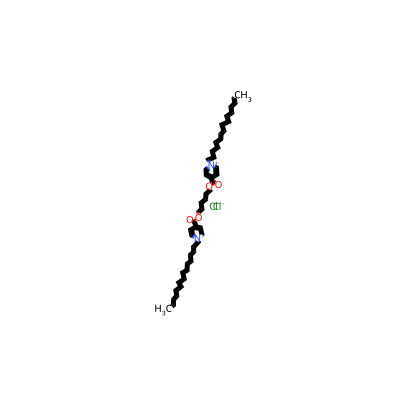 CCCCCCCCCCCCCCCC[n+]1ccc(C(=O)OCCCCCCOC(=O)c2cc[n+](CCCCCCCCCCCCCCCC)cc2)cc1.[Cl-].[Cl-]